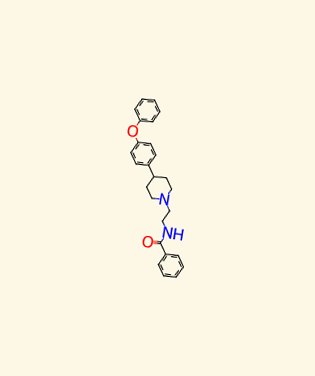 O=C(NCCN1CCC(c2ccc(Oc3ccccc3)cc2)CC1)c1ccccc1